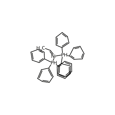 C[CH]=[Ni]([PH](c1ccccc1)(c1ccccc1)c1ccccc1)[PH](c1ccccc1)(c1ccccc1)c1ccccc1